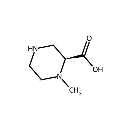 CN1CCNC[C@H]1C(=O)O